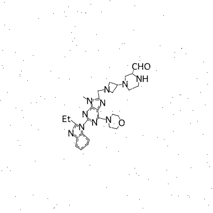 CCc1nc2ccccc2n1-c1nc(N2CCOCC2)c2nc(CN3CC(N4CCNC(C=O)C4)C3)n(C)c2n1